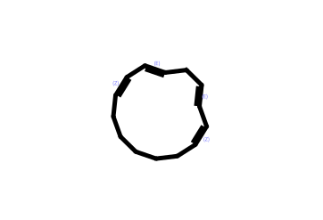 [CH]1/C=C/C=C\CCCCC/C=C\C=C\1